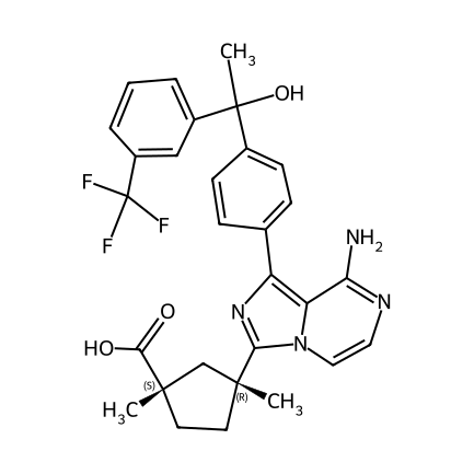 CC(O)(c1ccc(-c2nc([C@]3(C)CC[C@](C)(C(=O)O)C3)n3ccnc(N)c23)cc1)c1cccc(C(F)(F)F)c1